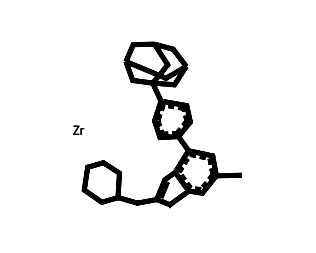 Cc1cc2c(c(-c3ccc(C45CC6CC(CC(C6)C4)C5)cc3)c1)C=C(CC1CCCCC1)[CH]2.[Zr]